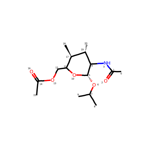 CC(=O)NC1[C@H](OC(C)C)OC(COC(C)=O)[C@@H](C)[C@@H]1C